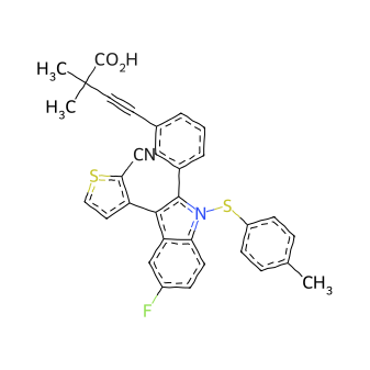 Cc1ccc(Sn2c(-c3cccc(C#CC(C)(C)C(=O)O)c3)c(-c3ccsc3C#N)c3cc(F)ccc32)cc1